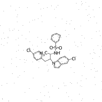 CC(NS(=O)(=O)c1ccccc1)C(Cc1ccc(Cl)cc1)n1ccc2cc(Cl)ccc21